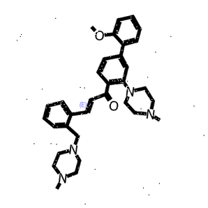 COc1ccccc1-c1ccc(C(=O)/C=C/c2ccccc2CN2CCN(C)CC2)c(N2CCN(C)CC2)c1